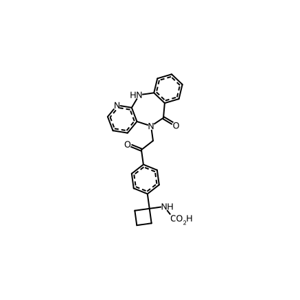 O=C(O)NC1(c2ccc(C(=O)CN3C(=O)c4ccccc4Nc4ncccc43)cc2)CCC1